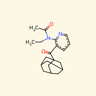 CCN(C(C)=O)c1ncccc1C(=O)C12CC3CC(CC(C3)C1)C2